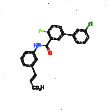 O=C(O)/C=C/c1cccc(NC(=O)c2cc(-c3cccc(Cl)c3)ccc2F)c1